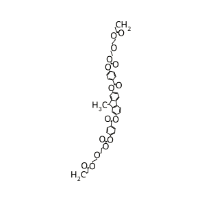 C=CC(=O)OCCOCCOC(=O)Oc1ccc(C(=O)Oc2ccc3c(c2)C(C)c2cc(OC(=O)c4ccc(OC(=O)OCCOCCOC(=O)C=C)cc4)ccc2-3)cc1